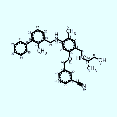 Cc1cc(CN[C@@H](C)CO)c(OCc2cncc(C#N)c2)cc1NCc1cccc(-c2ccccc2)c1C